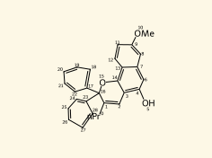 CCCC1=Cc2c(O)cc3cc(OC)ccc3c2OC1(c1ccccc1)c1ccccc1